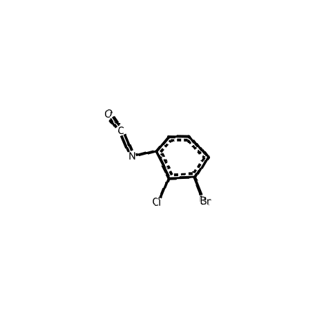 O=C=Nc1cccc(Br)c1Cl